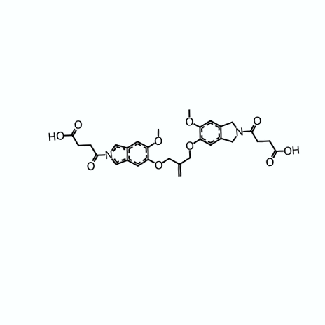 C=C(COc1cc2c(cc1OC)CN(C(=O)CCC(=O)O)C2)COc1cc2cn(C(=O)CCC(=O)O)cc2cc1OC